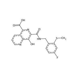 CSc1cc(F)ccc1CNC(=O)c1nc(C(=O)O)c2cccnc2c1O